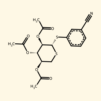 CC(=O)O[C@@H]1[C@@H](OC(C)=O)[C@H](Sc2cccc(C#N)c2)SC[C@H]1OC(C)=O